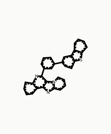 c1cc(-c2ccc3sc4ccccc4c3c2)cc(-c2nc3ccccc3c3nc4ccccn4c23)c1